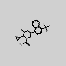 CC1CC(c2ccc(C(F)(F)F)c3ncccc23)CN(C(N)=O)C1C1CC1